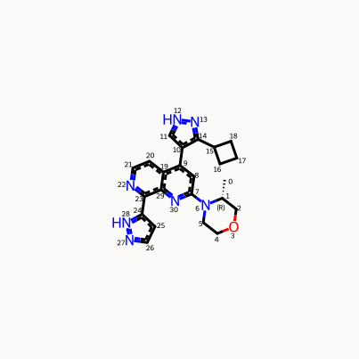 C[C@@H]1COCCN1c1cc(-c2c[nH]nc2C2CCC2)c2ccnc(-c3ccn[nH]3)c2n1